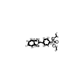 CCOP(=O)(OCC)c1ccc(-c2nc3ccccc3s2)cc1